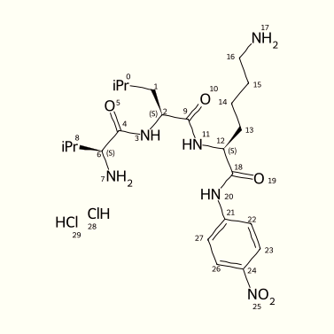 CC(C)C[C@H](NC(=O)[C@@H](N)C(C)C)C(=O)N[C@@H](CCCCN)C(=O)Nc1ccc([N+](=O)[O-])cc1.Cl.Cl